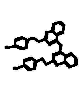 CC(C)(C)c1ccc(CCc2nc(Oc3nc(CCc4ccc(C(C)(C)C)cc4)nc4ccccc34)c3ccccc3n2)cc1